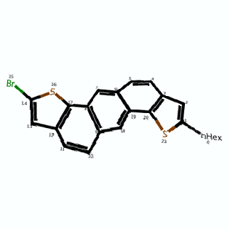 CCCCCCc1cc2ccc3cc4c(ccc5cc(Br)sc54)cc3c2s1